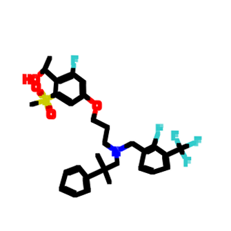 CC(O)c1c(F)cc(OCCCN(Cc2cccc(C(F)(F)F)c2F)CC(C)(C)c2ccccc2)cc1S(C)(=O)=O